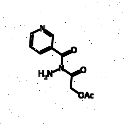 CC(=O)OCC(=O)N(N)C(=O)c1cccnc1